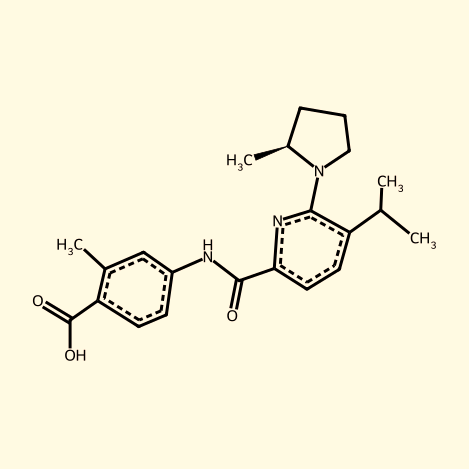 Cc1cc(NC(=O)c2ccc(C(C)C)c(N3CCC[C@@H]3C)n2)ccc1C(=O)O